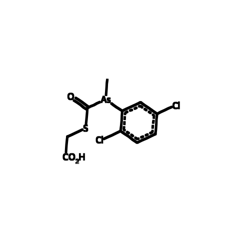 C[As](C(=O)SCC(=O)O)c1cc(Cl)ccc1Cl